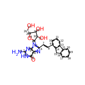 Nc1nc2c(nc(C=Cc3cccc4c3Cc3ccccc3-4)n2[C@@H]2O[C@H](CO)C(O)C2O)c(=O)[nH]1